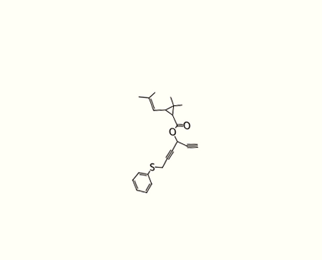 C#CC(C#CCSc1ccccc1)OC(=O)C1C(C=C(C)C)C1(C)C